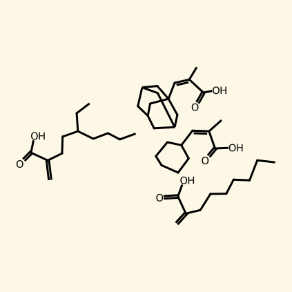 C=C(CCC(CC)CCCC)C(=O)O.C=C(CCCCCCC)C(=O)O.CC(=CC12CC3CC(CC(C3)C1)C2)C(=O)O.CC(=CC1CCCCC1)C(=O)O